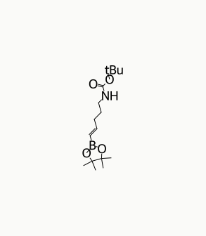 CC(C)(C)OC(=O)NCCC/C=C/B1OC(C)(C)C(C)(C)O1